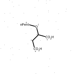 CCCCCOC(CC(=O)O)C(=O)O